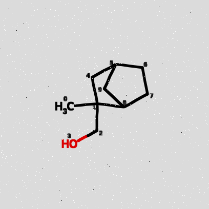 CC1(CO)CC2CCC1C2